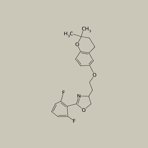 CC1(C)CCc2cc(OCCC3COC(c4c(F)cccc4F)=N3)ccc2O1